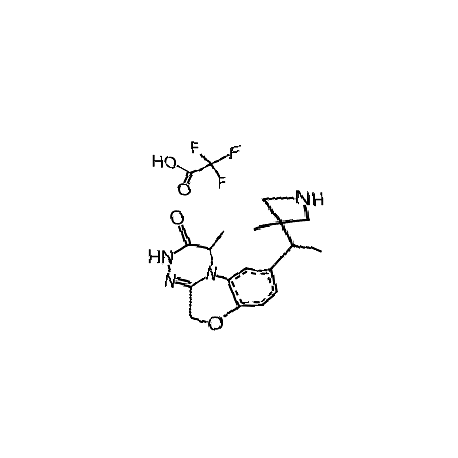 CC1C(=O)NN=C2COc3ccc(C(C)C4(C)CNC4)cc3N21.O=C(O)C(F)(F)F